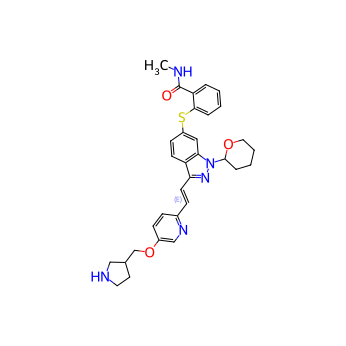 CNC(=O)c1ccccc1Sc1ccc2c(/C=C/c3ccc(OCC4CCNC4)cn3)nn(C3CCCCO3)c2c1